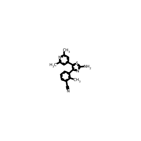 Cc1cc(-c2sc(N)nc2-c2cccc(C#N)c2C)cc(C)n1